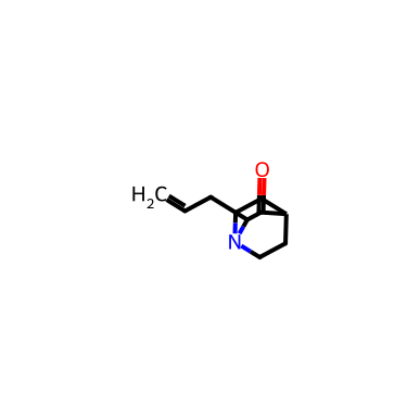 C=CCC1C(=O)C2CCN1CC2